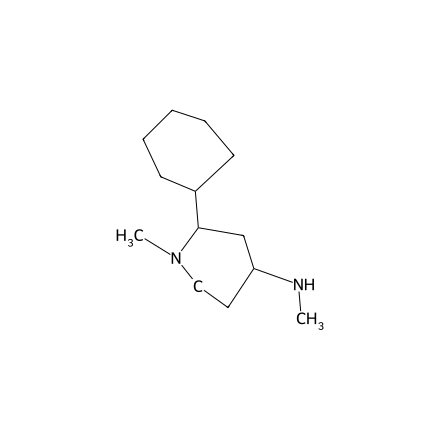 CNC1CCN(C)C(C2CCCCC2)C1